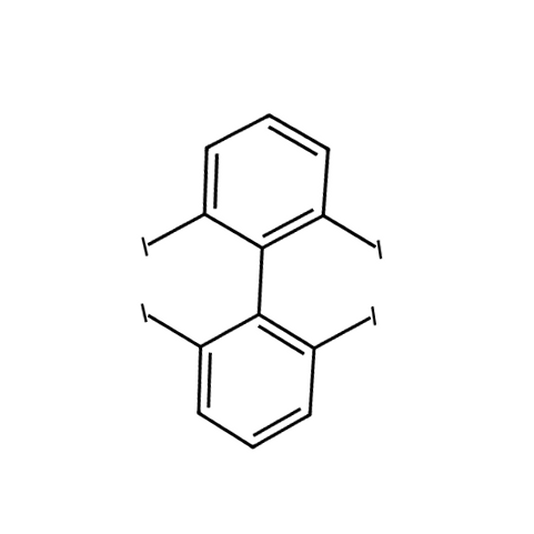 Ic1cccc(I)c1-c1c(I)cccc1I